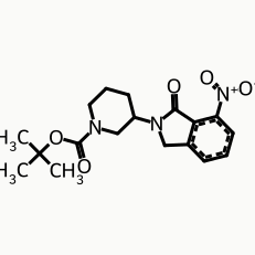 CC(C)(C)OC(=O)N1CCCC(N2Cc3cccc([N+](=O)[O-])c3C2=O)C1